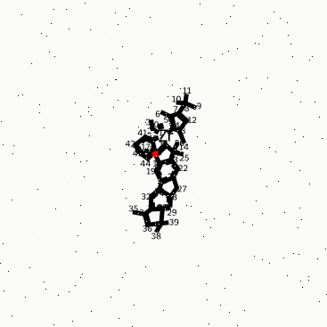 [CH2]=[Zr]([CH2]C)([C]1=C(C)C(C(C)(C)C)=CC1C)([C]1=C(C)c2cc3c(cc2C1(C)C)Cc1cc2c(cc1-3)C(C)=CC2(C)C)[c]1ccccc1